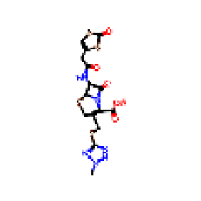 Cn1nnc(SCC2=C(C(=O)O)N3C(=O)C(NC(=O)Cc4csc(=O)s4)C3SC2)n1